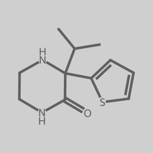 CC(C)C1(c2cccs2)NCCNC1=O